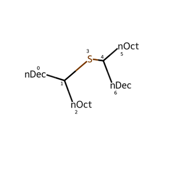 CCCCCCCCCCC(CCCCCCCC)SC(CCCCCCCC)CCCCCCCCCC